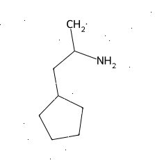 [CH2]C(N)CC1CCCC1